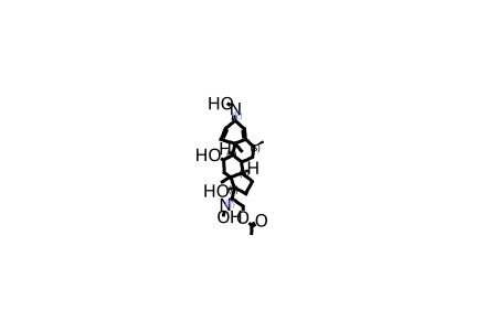 CC(=O)OC/C(=N\O)[C@@]1(O)CC[C@H]2C3C[C@H](C)C4=C/C(=N/O)C=CC4(C)[C@H]3C(O)CC21C